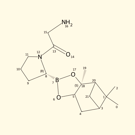 CC1(C)C2CC3OB([C@@H]4CCCN4C(=O)CN)O[C@@]3(C)C1C2